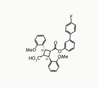 COc1ccccc1[C@H]1[C@H](C(=O)O)[C@H](c2ccccc2OC)[C@@H]1C(=O)Oc1cccc(-c2ccc(F)cc2)c1